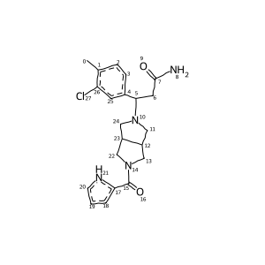 Cc1ccc(C(CC(N)=O)N2CC3CN(C(=O)c4ccc[nH]4)CC3C2)cc1Cl